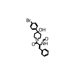 O=CNC(=Cc1ccccc1)C(=O)N1CCC(O)(c2ccc(Br)cc2)CC1